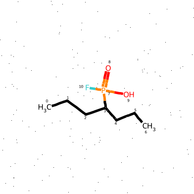 CCCC(CCC)P(=O)(O)F